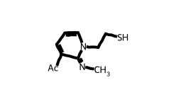 C/N=c1/c(C(C)=O)cccn1CCS